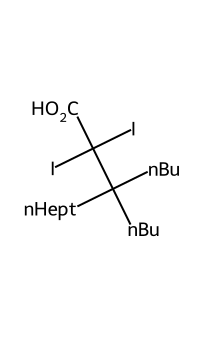 CCCCCCCC(CCCC)(CCCC)C(I)(I)C(=O)O